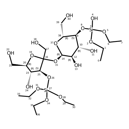 CCO[Si](O)(OCC)O[C@H]1[C@H](O)[C@@H](O)[C@@H](OC2(CO)O[C@H](CO)[C@@H](O)[C@@H]2O[Si](OCC)(OCC)OCC)O[C@@H]1CO